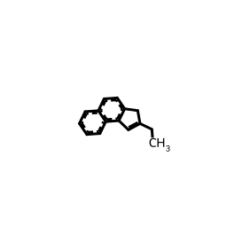 CCC1=Cc2c(ccc3ccccc23)C1